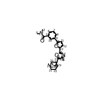 CN(C)C(=O)c1cccc(-c2ccc(-c3nnc(C4CN5CCC4CC5)o3)o2)c1